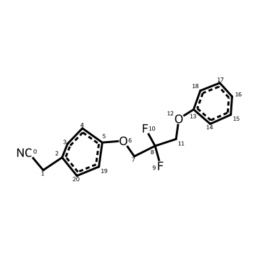 N#CCc1ccc(OCC(F)(F)COc2ccccc2)cc1